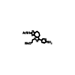 COCCn1nc(-c2ccc(N)nc2)c2c1-c1sc(NC(C)=O)nc1CCC2